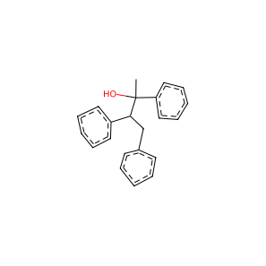 CC(O)(c1ccccc1)C(Cc1ccccc1)c1ccccc1